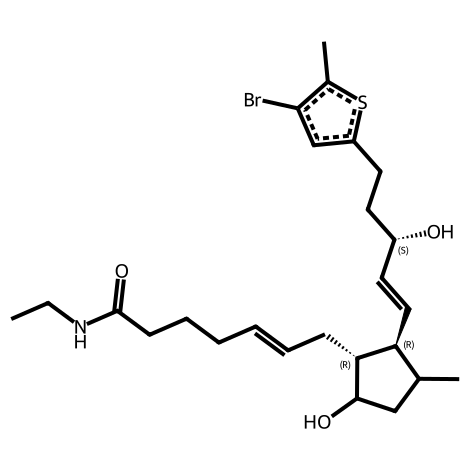 CCNC(=O)CCCC=CC[C@H]1C(O)CC(C)[C@@H]1C=C[C@@H](O)CCc1cc(Br)c(C)s1